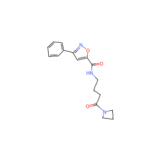 O=C(NCCCC(=O)N1CCC1)c1cc(-c2ccccc2)no1